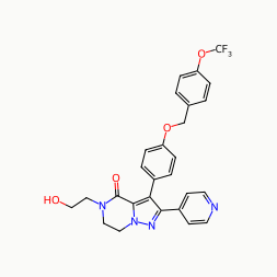 O=C1c2c(-c3ccc(OCc4ccc(OC(F)(F)F)cc4)cc3)c(-c3ccncc3)nn2CCN1CCO